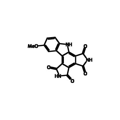 COc1ccc2[nH]c3c4c(=O)[nH]c(=O)c4c4c(=O)[nH]c(=O)c4c3c2c1